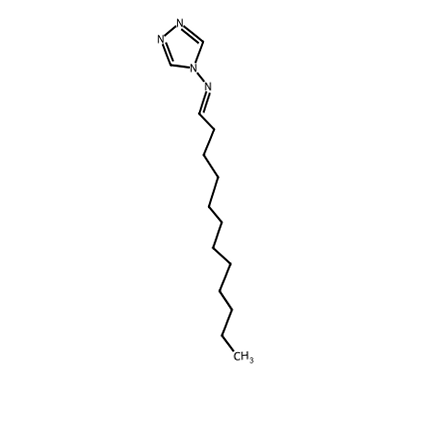 CCCCCCCCCCCC=Nn1cnnc1